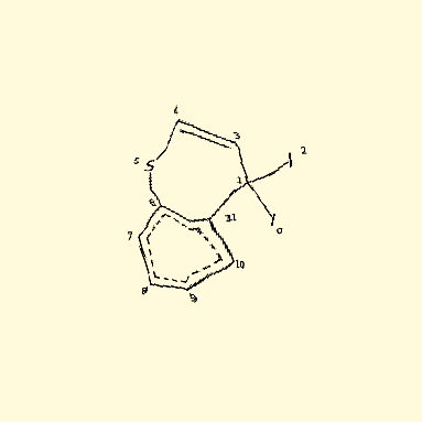 IC1(I)C=CSc2ccccc21